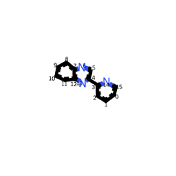 c1ccc(-c2cnc3ccccc3n2)nc1